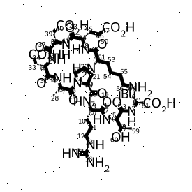 CC[C@H](C)[C@H](NC(=O)[C@@H](NC(=O)[C@H](CCCNC(=N)N)NC(=O)[C@@H]1CCCN1C(=O)[C@H](C)NC(=O)[C@H](CC(=O)O)NC(=O)[C@H](CC(=O)O)NC(=O)[C@H](CCC(=O)O)NC(=O)[C@@H](N)CCCCN)[C@@H](C)O)C(=O)O